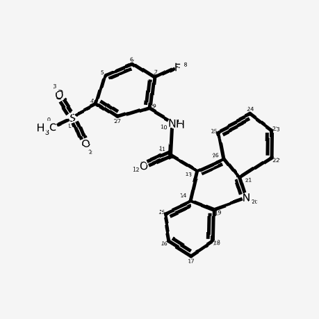 CS(=O)(=O)c1ccc(F)c(NC(=O)c2c3ccccc3nc3ccccc23)c1